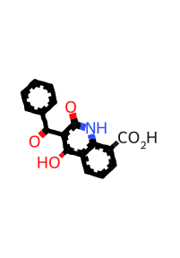 O=C(c1ccccc1)c1c(O)c2cccc(C(=O)O)c2[nH]c1=O